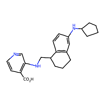 O=C(O)c1ccncc1NCC1CCCc2cc(NC3CCCC3)ccc21